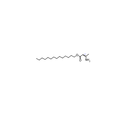 CCCCCCCCCCCCCCOC(=O)/C=C(/C)N